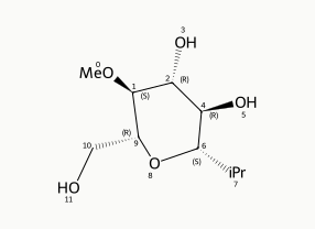 CO[C@H]1[C@H](O)[C@@H](O)[C@H](C(C)C)O[C@@H]1CO